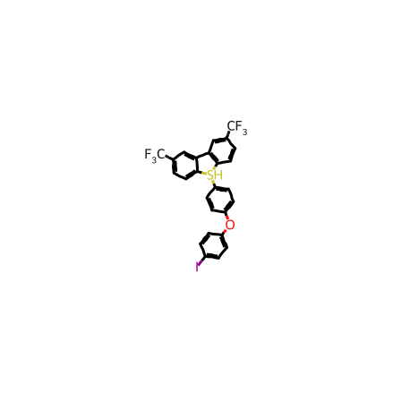 FC(F)(F)c1ccc2c(c1)-c1cc(C(F)(F)F)ccc1[SH]2c1ccc(Oc2ccc(I)cc2)cc1